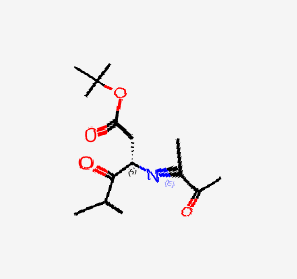 CC(=O)/C(C)=N/[C@@H](CC(=O)OC(C)(C)C)C(=O)C(C)C